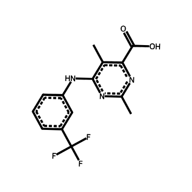 Cc1nc(Nc2cccc(C(F)(F)F)c2)c(C)c(C(=O)O)n1